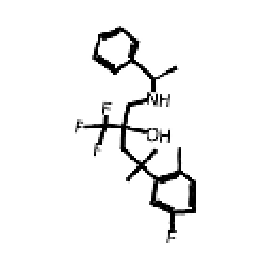 Cc1ccc(F)cc1C(C)(C)CC(O)(CN[C@H](C)c1ccccc1)C(F)(F)F